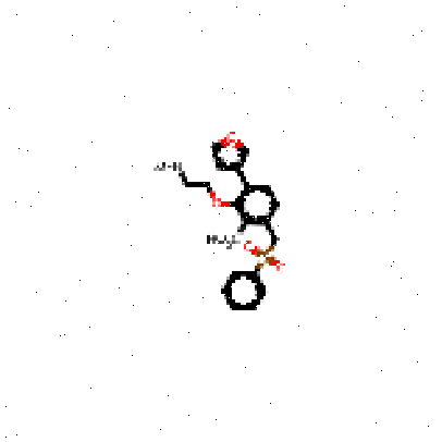 CNCCOc1c(-c2ccoc2)ccc(CS(=O)(=O)c2ccccc2)c1C(=O)O